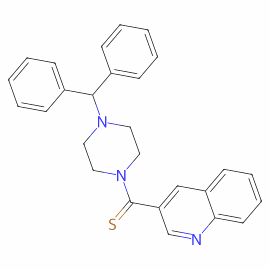 S=C(c1cnc2ccccc2c1)N1CCN(C(c2ccccc2)c2ccccc2)CC1